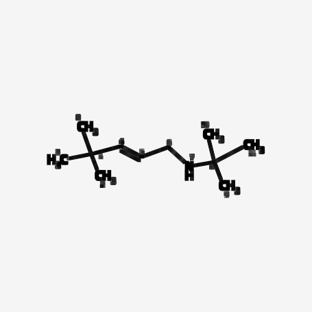 CC(C)(C)/C=C/CNC(C)(C)C